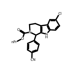 CCCOC(=O)N1CCc2c([nH]c3ccc(Cl)cc23)C1c1ccc(C#N)cc1